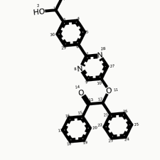 CC(O)c1ccc(-c2ncc(OC(C(=O)c3ccccc3)c3ccccc3)cn2)cc1